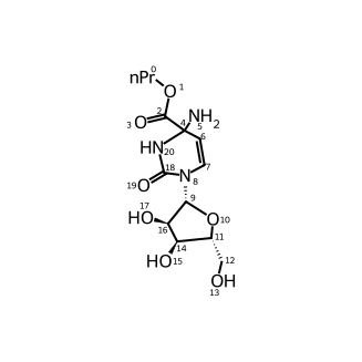 CCCOC(=O)C1(N)C=CN([C@@H]2O[C@H](CO)[C@@H](O)[C@H]2O)C(=O)N1